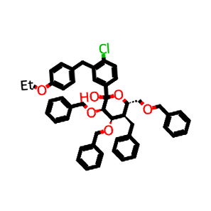 CCOc1ccc(Cc2cc(C3(O)O[C@H](COCc4ccccc4)[C@@H](Cc4ccccc4)[C@H](OCc4ccccc4)[C@H]3OCc3ccccc3)ccc2Cl)cc1